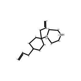 C=CCC1CCC(CC=C)(N2CCNCC2)CC1